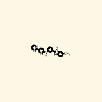 FC(F)(F)c1ccc2nc(-c3cccc(Nc4ccc(-c5ncccn5)cn4)c3)[nH]c2c1